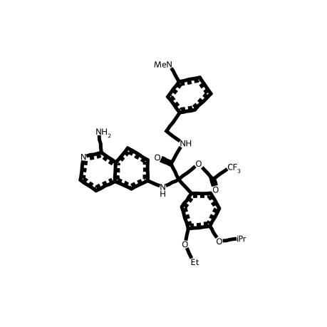 CCOc1cc(C(Nc2ccc3c(N)nccc3c2)(OC(=O)C(F)(F)F)C(=O)NCc2cccc(NC)c2)ccc1OC(C)C